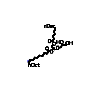 CCCCCCCC/C=C\CCCCCCCC(=O)O[C@@H](COCC(O)CO)COC(=O)CCCCCCCCCCCCCCC